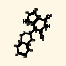 O=c1[nH]c(=O)n(C2CCc3ccccc3C2)c2[nH]cnc12